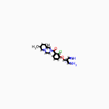 C[C@H]1CC[C@@H]2CN(C(=O)c3cccc(OC/C(C=N)=C/N)c3Cl)CCN2C1